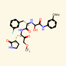 COc1cccc(NC(=O)C(O)N[C@@H](Cc2cccc(F)c2)C(=O)N[C@@H](C[C@@H]2CCNC2=O)C(=O)COC(F)(F)F)c1